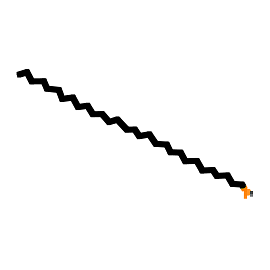 CCCCCCCCCCCCCCCCCCCCCCCCCCCCCC[P]